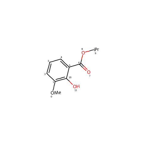 COc1cccc(C(=O)OC(C)C)c1O